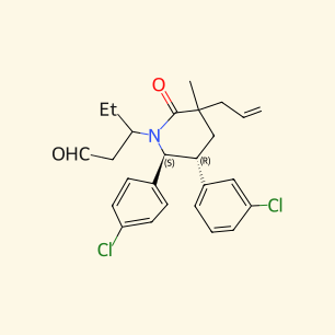 C=CCC1(C)C[C@H](c2cccc(Cl)c2)[C@@H](c2ccc(Cl)cc2)N(C(CC)CC=O)C1=O